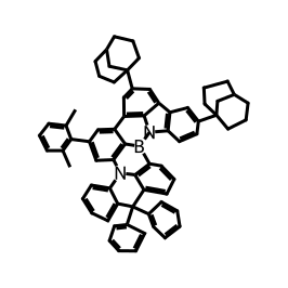 Cc1cccc(C)c1-c1cc2c3c(c1)N1c4ccccc4C(c4ccccc4)(c4ccccc4)c4cccc(c41)B3n1c3ccc(C45CCCC(CCC4)C5)cc3c3cc(C45CCCC(CCC4)C5)cc-2c31